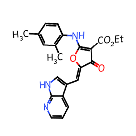 CCOC(=O)C1=C(Nc2ccc(C)cc2C)OC(=Cc2c[nH]c3ncccc23)C1=O